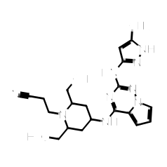 CCC1CC(Nc2nc(Nc3cc(C)[nH]n3)nn3cccc23)CC(CC)N1CCC#N